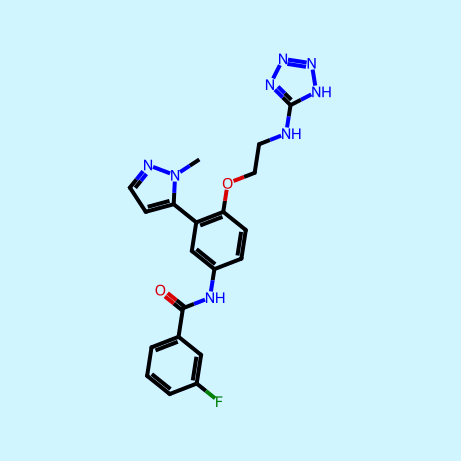 Cn1nccc1-c1cc(NC(=O)c2cccc(F)c2)ccc1OCCNc1nnn[nH]1